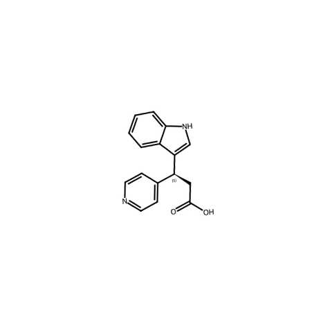 O=C(O)C[C@@H](c1ccncc1)c1c[nH]c2ccccc12